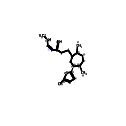 CN/C=C\C(=N)CCC1C[C@@H](c2ccc(Cl)s2)[C@H](C)CCC1C